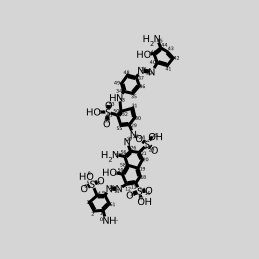 [NH]c1ccc(S(=O)(=O)O)c(N=Nc2c(S(=O)(=O)O)cc3cc(S(=O)(=O)O)c(N=Nc4ccc(Nc5ccc(N=Nc6cccc(N)c6O)cc5)c(S(=O)(=O)O)c4)c(N)c3c2O)c1